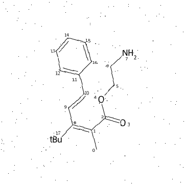 CC(C(=O)OCCN)=C(C=Cc1ccccc1)C(C)(C)C